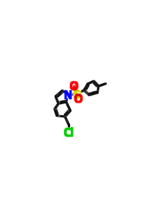 Cc1ccc(S(=O)(=O)n2ccc3ccc(CCl)cc32)cc1